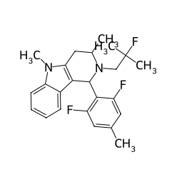 Cc1cc(F)c(C2c3c(n(C)c4ccccc34)CC(C)N2CC(C)(C)F)c(F)c1